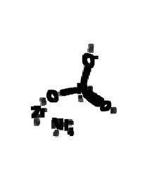 O=[N+]([O-])[O-].[NH4+].[Zr]